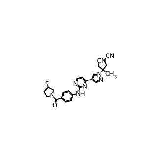 CC(CC#N)(CCC#N)n1cc(-c2ccnc(Nc3ccc(C(=O)N4CCC(F)C4)cc3)n2)cn1